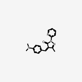 CC1=NN(c2ccccn2)C(=O)C1=Cc1ccc(N(C)C)cc1